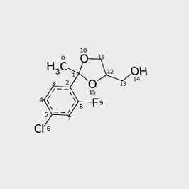 CC1(c2ccc(Cl)cc2F)OCC(CO)O1